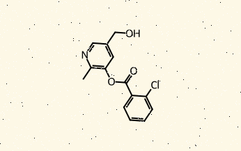 Cc1ncc(CO)cc1OC(=O)c1ccccc1Cl